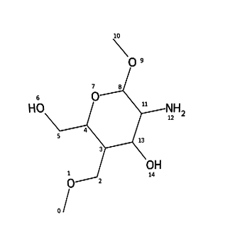 COCC1C(CO)OC(OC)C(N)C1O